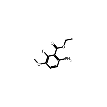 CCOC(=O)c1c(P)ccc(OC)c1F